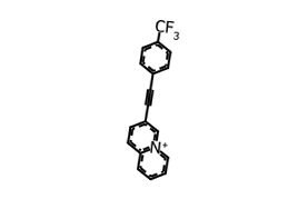 FC(F)(F)c1ccc(C#Cc2ccc3cccc[n+]3c2)cc1